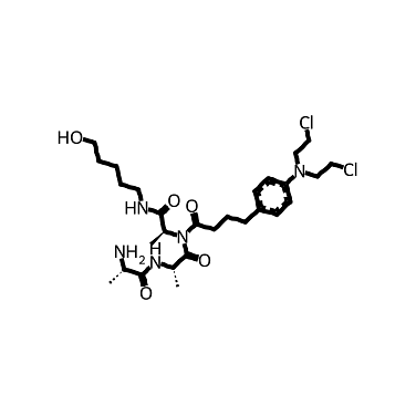 C[C@H](N)C(=O)N[C@@H](C)C(=O)N(C(=O)CCCc1ccc(N(CCCl)CCCl)cc1)[C@@H](C)C(=O)NCCCCCO